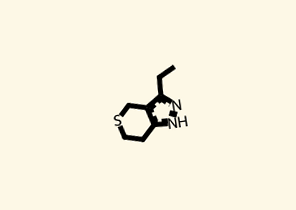 CCc1n[nH]c2c1CSCC2